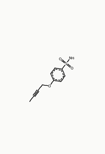 CC#CCOc1ccc(S([NH])(=O)=O)cc1